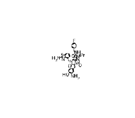 CC(C)N(C(=O)NCc1ccc(F)cc1)N1CC(=O)N2[C@@H](Cc3ccc(O)c(N)c3)C(=O)N(Cc3cccc4sc(N)nc34)C[C@@H]21